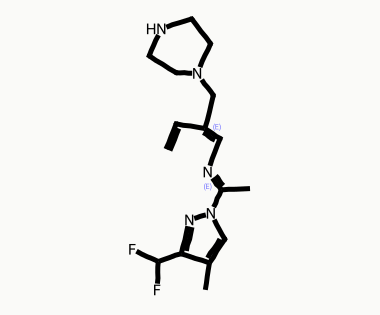 C=C/C(=C\N=C(/C)n1cc(C)c(C(F)F)n1)CN1CCNCC1